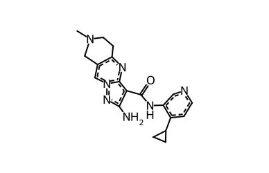 CN1CCc2nc3c(C(=O)Nc4cnccc4C4CC4)c(N)nn3cc2C1